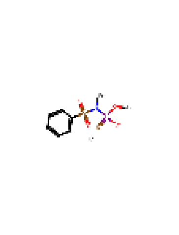 CCOP([O-])(=S)N(C(C)C)S(=O)(=O)c1ccccc1.[K+]